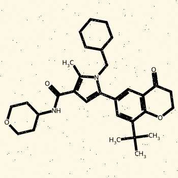 Cc1c(C(=O)NC2CCOCC2)cc(-c2cc3c(c(C(C)(C)C)c2)OCCC3=O)n1CC1CCCCC1